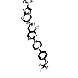 O=[N+]([O-])c1cn2c(n1)OC[C@@H](NCc1cnc(N3CCN(c4ccc(OC(F)(F)F)cc4)CC3)nc1Cl)C2